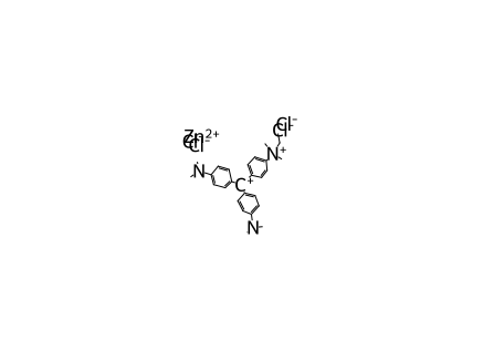 CC[N+](C)(C)c1ccc([C+](c2ccc(N(C)C)cc2)c2ccc(N(C)C)cc2)cc1.[Cl-].[Cl-].[Cl-].[Cl-].[Zn+2]